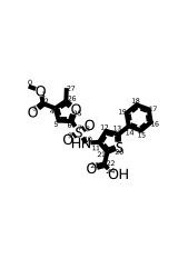 COC(=O)c1cc(S(=O)(=O)Nc2cc(-c3ccccc3)sc2C(=O)O)oc1C